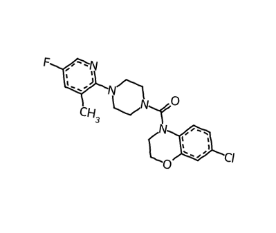 Cc1cc(F)cnc1N1CCN(C(=O)N2CCOc3cc(Cl)ccc32)CC1